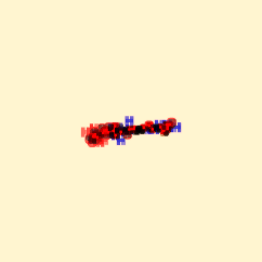 O=C(CCCCC1SCC2NC(=O)NC21)NCCCCCCNC(=O)CNc1ncnc2c1ncn2C1OC(COP(=O)(O)OP(=O)(O)O)C(O)C1O